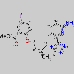 COC(=O)c1cc(I)ccc1OCCC(C)Cn1cnnc1-c1cccc(N)n1